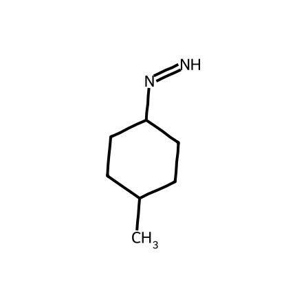 CC1CCC(N=N)CC1